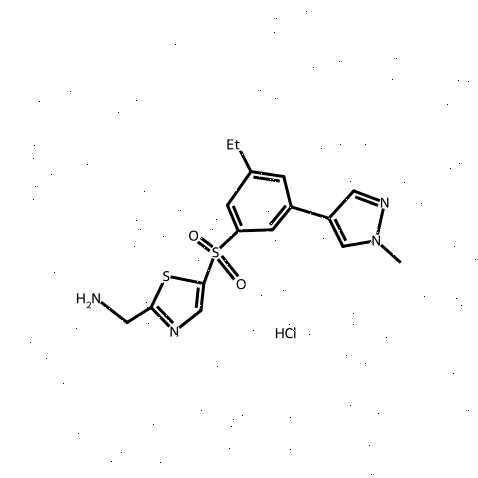 CCc1cc(-c2cnn(C)c2)cc(S(=O)(=O)c2cnc(CN)s2)c1.Cl